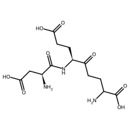 NC(CCC(=O)[C@H](CCC(=O)O)NC(=O)[C@@H](N)CC(=O)O)C(=O)O